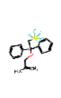 C=C(C)COC(CS(F)(F)(F)(F)F)(c1ccccc1)c1ccccc1